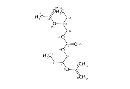 C=C(C)OC(CC)COC(=O)OCC(CC)OC(C)=O